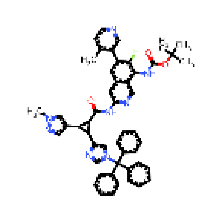 Cc1ccncc1-c1cc2cc(NC(=O)C3C(c4cnn(C)c4)C3c3cn(C(c4ccccc4)(c4ccccc4)c4ccccc4)cn3)ncc2c(NC(=O)OC(C)(C)C)c1F